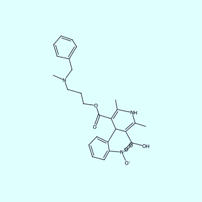 CC1=C(C(=O)O)C(c2ccccc2[N+](=O)[O-])C(C(=O)OCCCN(C)Cc2ccccc2)=C(C)N1